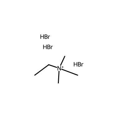 Br.Br.Br.CC[N+](C)(C)C